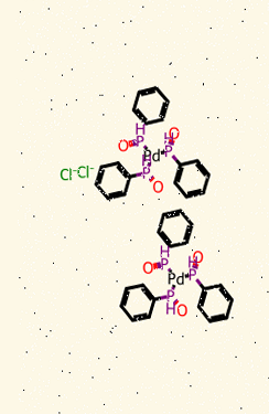 O=[PH](c1ccccc1)[Pd+]([PH](=O)c1ccccc1)[PH](=O)c1ccccc1.O=[PH](c1ccccc1)[Pd+]([PH](=O)c1ccccc1)[PH](=O)c1ccccc1.[Cl-].[Cl-]